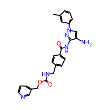 Cc1cccc(-n2cc(N)c(NC(=O)c3ccc(CNC(=O)OCc4cccnc4)cc3)n2)c1